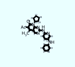 CC(=O)c1c(C)c2cnc(Nc3ccc(Nc4ccccc4)cn3)nc2n(C2CCCC2)c1=O